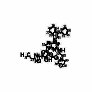 CCc1noc([C@H]2O[C@@H](n3cnc4c(NCC(c5ccccc5)c5ccccc5)nc(NCCN5CCOCC5)nc43)[C@H](OC=O)[C@@H]2O)n1